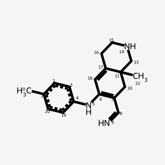 Cc1ccc(NC2=C(C=N)CC3(C)CNCCC3=C2)cc1